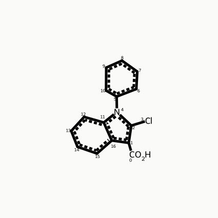 O=C(O)c1c(Cl)n(-c2ccccc2)c2ccccc12